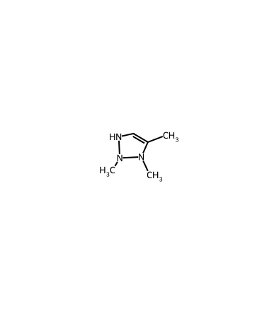 CC1=CNN(C)N1C